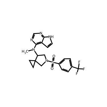 CN(c1ncnc2[nH]ccc12)C1CN(S(=O)(=O)c2ccc(C(F)(F)F)cc2)CC12CC2